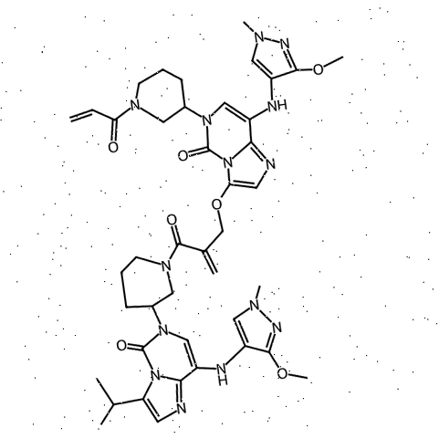 C=CC(=O)N1CCCC(n2cc(Nc3cn(C)nc3OC)c3ncc(OCC(=C)C(=O)N4CCCC(n5cc(Nc6cn(C)nc6OC)c6ncc(C(C)C)n6c5=O)C4)n3c2=O)C1